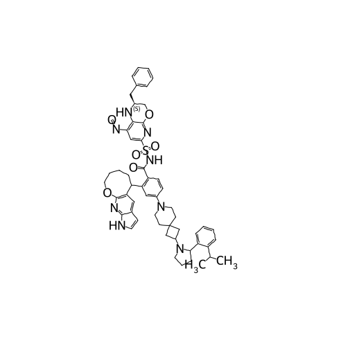 CC(C)c1ccccc1C1CCCN1C1CC2(CCN(c3ccc(C(=O)NS(=O)(=O)c4cc(N=O)c5c(n4)OC[C@H](Cc4ccccc4)N5)c(C4CCCCOc5nc6[nH]ccc6cc54)c3)CC2)C1